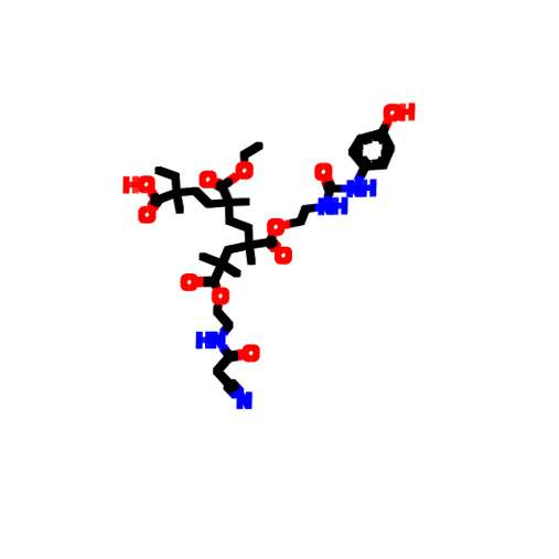 CCOC(=O)C(C)(CCC(C)(CC)C(=O)O)CCC(C)(CC(C)(C)C(=O)OCCNC(=O)CC#N)C(=O)OCCNC(=O)Nc1ccc(O)cc1